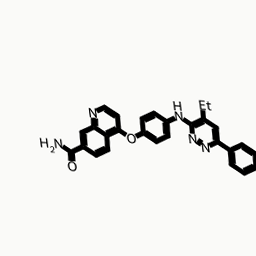 CCc1cc(-c2ccccc2)nnc1Nc1ccc(Oc2ccnc3cc(C(N)=O)ccc23)cc1